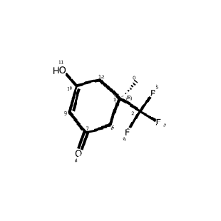 C[C@]1(C(F)(F)F)CC(=O)C=C(O)C1